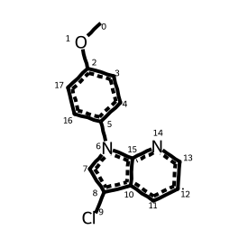 COc1ccc(-n2cc(Cl)c3c[c]cnc32)cc1